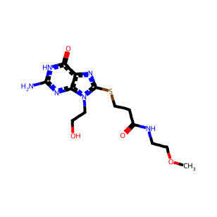 COCCNC(=O)CCSc1nc2c(=O)[nH]c(N)nc2n1CCO